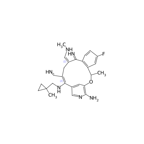 CN/C=C1/C/C(C=N)=C(/NCC2(C)CC2)c2cnc(N)c(c2)OC(C)c2cc(F)ccc2C1=N